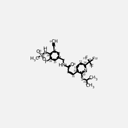 C#Cc1cc(CNC(=O)/C=C\c2ccc(C(F)(F)F)nc2SC(C)C)cc(F)c1NS(C)(=O)=O